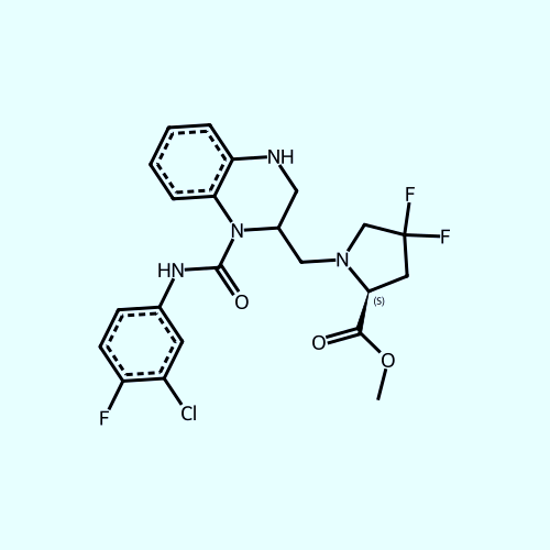 COC(=O)[C@@H]1CC(F)(F)CN1CC1CNc2ccccc2N1C(=O)Nc1ccc(F)c(Cl)c1